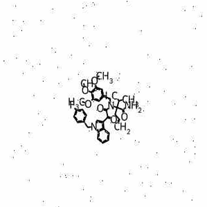 C=CCC(C(N)=O)(C(C)C)N(Cc1cc(OC)c(OC)c(OC)c1)C(=O)C(=O)c1cn(Cc2ccc(F)cc2)c2ccccc12